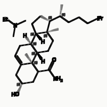 CC(C)CCC[C@@H](C)[C@H]1CC[C@H]2[C@@H]3CC=C4C[C@@H](O)CC(C(N)=O)[C@]4(C)[C@H]3CC[C@]12C.CCN(C)C